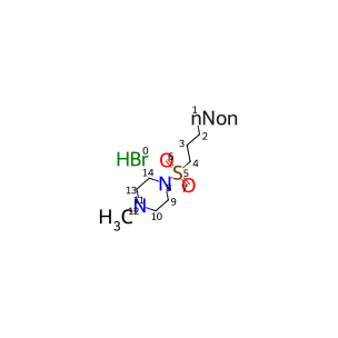 Br.CCCCCCCCCCCCS(=O)(=O)N1CCN(C)CC1